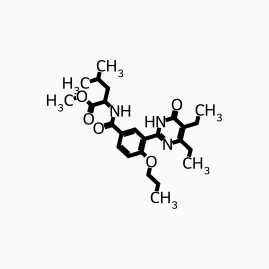 CCCOc1ccc(C(=O)NC(CC(C)C)C(=O)OC)cc1-c1nc(CC)c(CC)c(=O)[nH]1